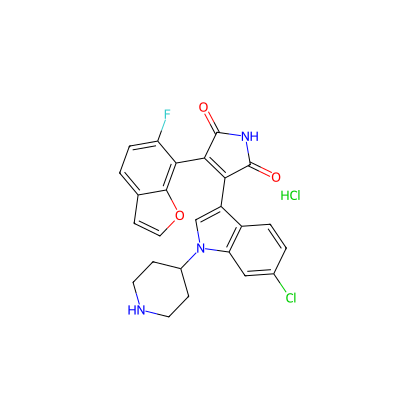 Cl.O=C1NC(=O)C(c2c(F)ccc3ccoc23)=C1c1cn(C2CCNCC2)c2cc(Cl)ccc12